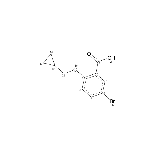 O=C(O)c1cc(Br)ccc1OCC1CC1